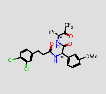 COc1cccc([C@@H](NC(=O)CCc2ccc(Cl)c(Cl)c2)C(=O)N[C@H](C(=O)C(F)(F)F)C(C)C)c1